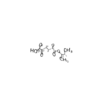 CCC(C)OC(=O)C(=O)CCC(=O)C(=O)O